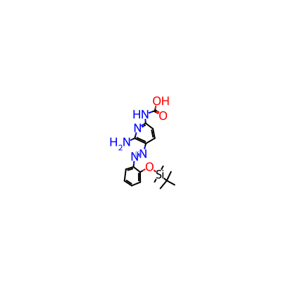 CC(C)(C)[Si](C)(C)Oc1ccccc1/N=N/c1ccc(NC(=O)O)nc1N